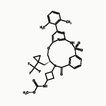 COC(=O)NC1CC(N2C(=O)c3cccc(c3)S(=O)(=O)Nc3nc(cc(-c4c(C)cccc4C)n3)OC[C@H]2CC2(C(F)(F)F)CC2)C1